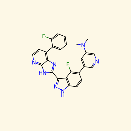 CN(C)c1cncc(-c2ccc3[nH]nc(-c4nc5c(-c6ccccc6F)ccnc5[nH]4)c3c2F)c1